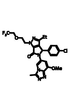 CCc1nn(CCOCC(F)(F)F)c2c1C(c1ccc(Cl)cc1)N(c1cc(OC)c3nnc(C)n3c1)C2=O